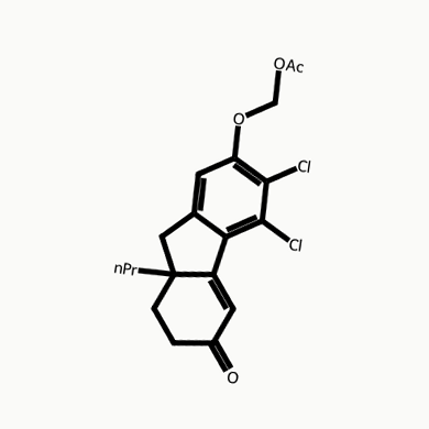 CCCC12CCC(=O)C=C1c1c(cc(OCOC(C)=O)c(Cl)c1Cl)C2